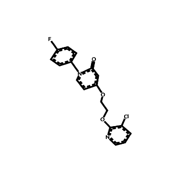 O=c1cc(OCCOc2ncccc2Cl)ccn1-c1ccc(F)cc1